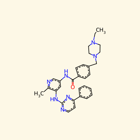 CCN1CCN(Cc2ccc(C(=O)Nc3cnc(C)c(Nc4nccc(-c5ccccc5)n4)c3)cc2)CC1